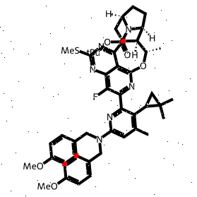 COc1ccc(CN(Cc2ccc(OC)cc2)c2cc(C)c(C3CC3(C)C)c(-c3nc4c5c(nc(SC)nc5c3F)N3C[C@H]5CC[C@@H]([C@H]3[C@H](C)O4)N5C(=O)OC(C)(C)C)n2)cc1